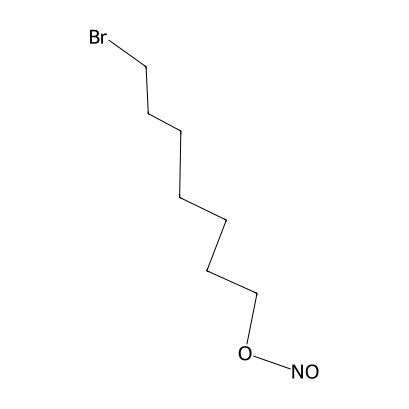 O=NOCCCCCCCBr